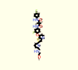 COCCNCc1cccc(-c2cc3nccc(Oc4ccc(NC(=O)C(C)(C)C(=O)Nc5ccc(F)cc5)cc4F)c3s2)n1